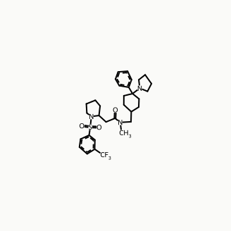 CN(CC1CCC(c2ccccc2)(N2CCCC2)CC1)C(=O)CC1CCCCN1S(=O)(=O)c1cccc(C(F)(F)F)c1